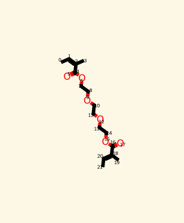 CC=C(C)C(=O)OCCOCCOCCOC(=O)C(C)=CC